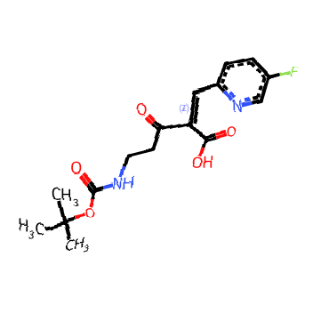 CC(C)(C)OC(=O)NCCC(=O)/C(=C/c1ccc(F)cn1)C(=O)O